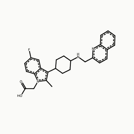 Cc1c(C2CCC(NCc3ccc4ccccc4n3)CC2)c2cc(F)ccc2n1CC(=O)O